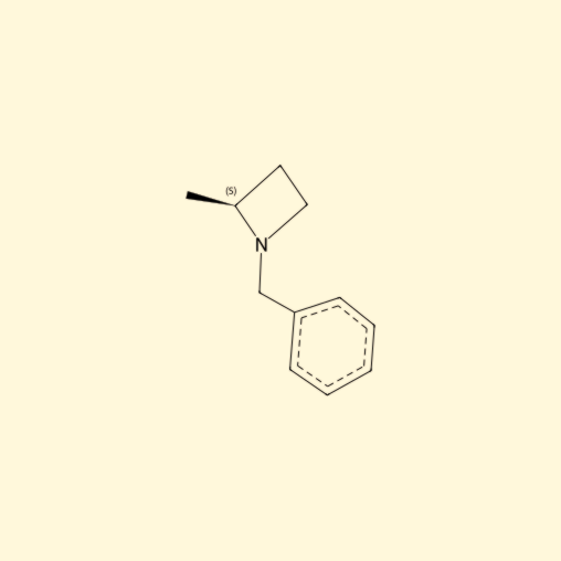 C[C@H]1CCN1Cc1ccccc1